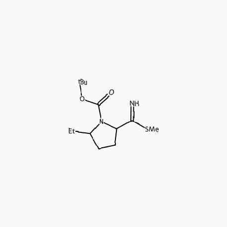 CCC1CCC(C(=N)SC)N1C(=O)OC(C)(C)C